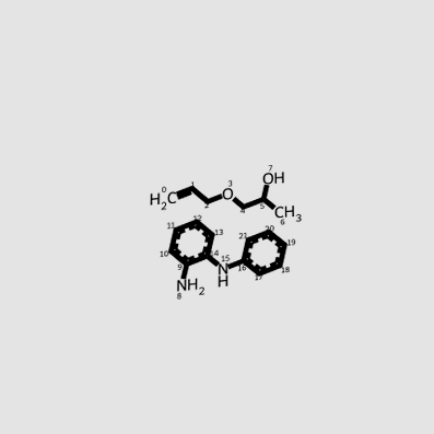 C=CCOCC(C)O.Nc1ccccc1Nc1ccccc1